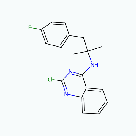 CC(C)(Cc1ccc(F)cc1)Nc1nc(Cl)nc2ccccc12